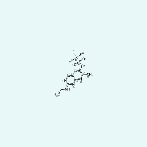 CCNc1ncc2cc(OS(=O)(=O)C(F)(F)F)c(C)nc2n1